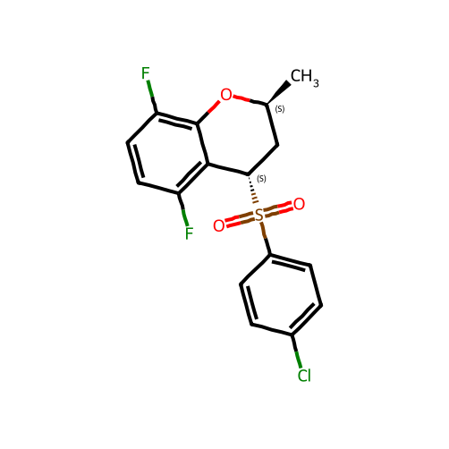 C[C@H]1C[C@H](S(=O)(=O)c2ccc(Cl)cc2)c2c(F)ccc(F)c2O1